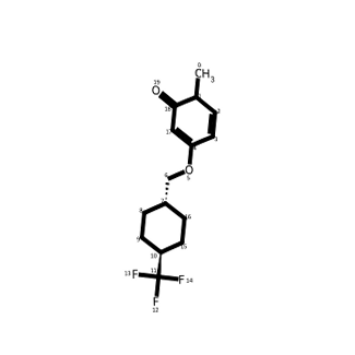 CC1C=CC(OC[C@H]2CC[C@H](C(F)(F)F)CC2)=CC1=O